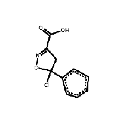 O=C(O)C1=NOC(Cl)(c2ccccc2)C1